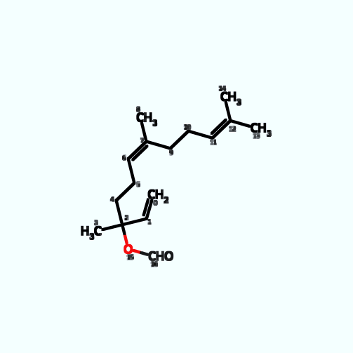 C=CC(C)(CCC=C(C)CCC=C(C)C)OC=O